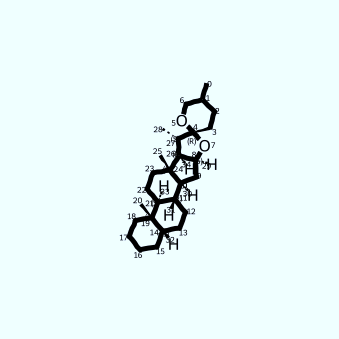 CC1CC[C@@]2(OC1)O[C@H]1C[C@H]3[C@@H]4CC[C@@H]5CCCC[C@]5(C)[C@H]4CC[C@]3(C)[C@H]1[C@@H]2C